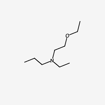 CCCN(CC)CCOCC